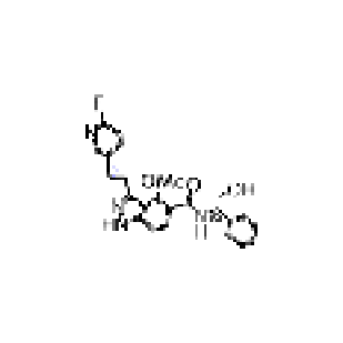 COc1c(C(=O)N[C@H](CO)c2ccccc2)ccc2[nH]nc(/C=C/c3ccc(F)nc3)c12